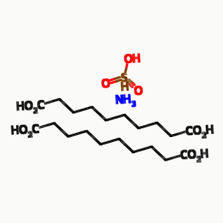 N.O=C(O)CCCCCCCCC(=O)O.O=C(O)CCCCCCCCC(=O)O.O=[SH](=O)O